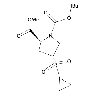 COC(=O)[C@@H]1C[C@@H](S(=O)(=O)C2CC2)CN1C(=O)OC(C)(C)C